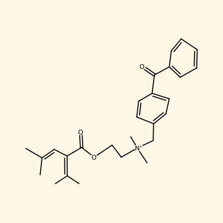 CC(C)=CC(C(=O)OCC[N+](C)(C)Cc1ccc(C(=O)c2ccccc2)cc1)=C(C)C